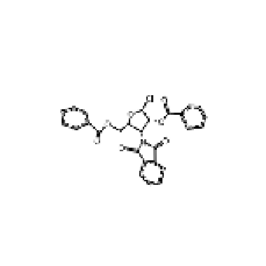 O=C(OC[C@H]1O[C@@H](Cl)[C@H](OC(=O)c2ccccc2)[C@@H]1N1C(=O)c2ccccc2C1=O)c1ccccc1